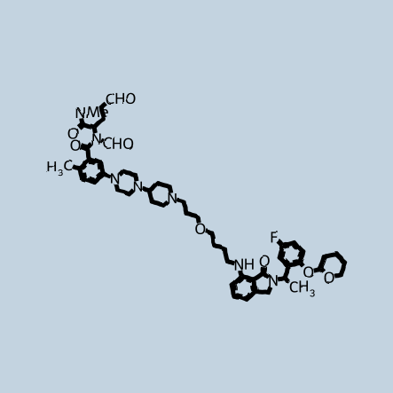 CNC(=O)C(CCC=O)N(C=O)C(=O)c1cc(N2CCN(C3CCN(CCCOCCCCNc4cccc5c4C(=O)N(C(C)c4cc(F)ccc4OC4CCCCO4)C5)CC3)CC2)ccc1C